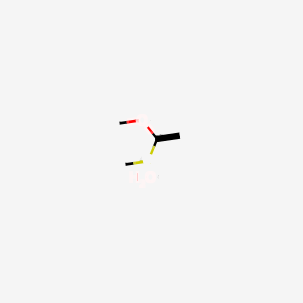 C=C(OC)SC.O